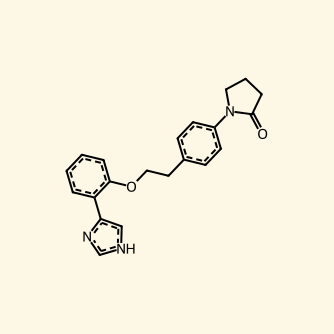 O=C1CCCN1c1ccc(CCOc2ccccc2-c2c[nH]cn2)cc1